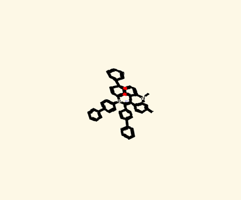 Cc1ccc(/C(=C(/B(c2ccc(-c3ccccc3)cc2)c2ccc(-c3ccccc3)cc2)c2ccc(-c3ccccc3)cc2)c2ccccc2N(C)C)cc1